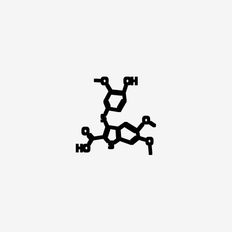 COc1cc(Sc2c(C(=O)O)sc3cc(OC)c(OC)cc23)ccc1O